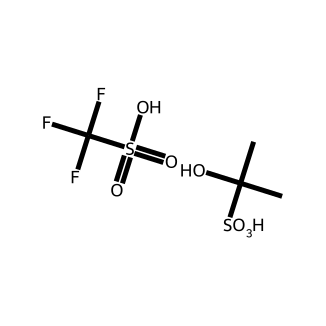 CC(C)(O)S(=O)(=O)O.O=S(=O)(O)C(F)(F)F